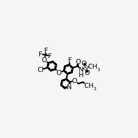 CCCOc1ncccc1-c1cc(C(=O)NS(C)(=O)=O)c(F)cc1Oc1ccc(OC(F)(F)F)c(Cl)c1